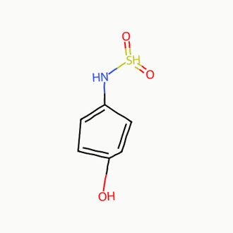 O=[SH](=O)Nc1ccc(O)cc1